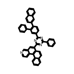 c1ccc(-c2nc(-c3ccc(-c4ccc5ccccc5c4)c(-c4ccccc4)c3)nc(-c3cc4cnccc4c4c3ccc3ccccc34)n2)cc1